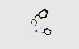 CN(C(=O)NC1CC(Cc2ccccc2)CCN1)c1cccc(F)c1